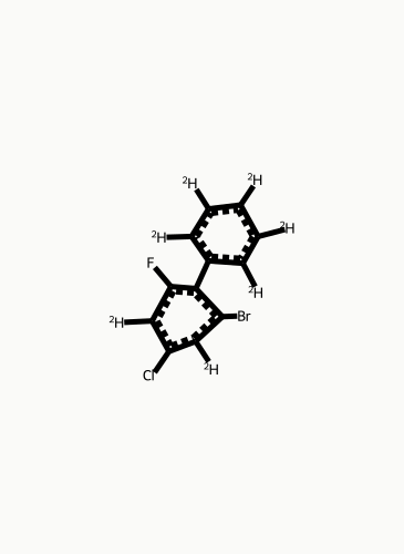 [2H]c1c([2H])c([2H])c(-c2c(F)c([2H])c(Cl)c([2H])c2Br)c([2H])c1[2H]